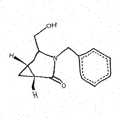 O=C1[C@@H]2C[C@@H]2C(CO)N1Cc1ccccc1